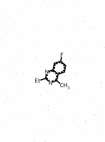 CCc1nc(C)c2ccc(F)cc2n1